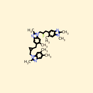 Cc1cc2nc(C)n(CC3CC3Cc3cc4nc(C)n(CC(F)Cc5cc6nc(C)n(C)c6cc5C)c4cc3C)c2cc1C